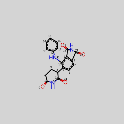 O=C1CCC(c2ccc3c(c2Nc2ccccc2)C(=O)NC3=O)C(=O)N1